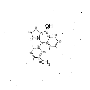 Cc1cccc(C(c2ccccc2)N2CCCC2CO)c1